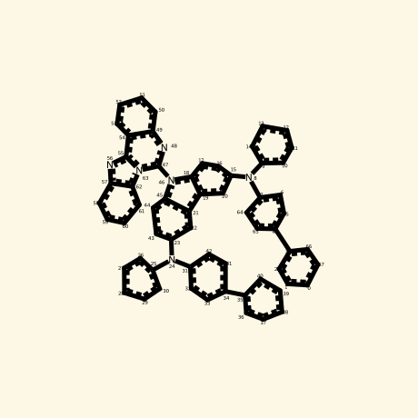 c1ccc(-c2ccc(N(c3ccccc3)c3ccc4c(c3)c3cc(N(c5ccccc5)c5ccc(-c6ccccc6)cc5)ccc3n4-c3nc4ccccc4c4nc5ccccc5n34)cc2)cc1